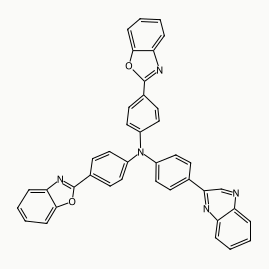 c1ccc2nc(-c3ccc(N(c4ccc(-c5nc6ccccc6o5)cc4)c4ccc(-c5nc6ccccc6o5)cc4)cc3)cnc2c1